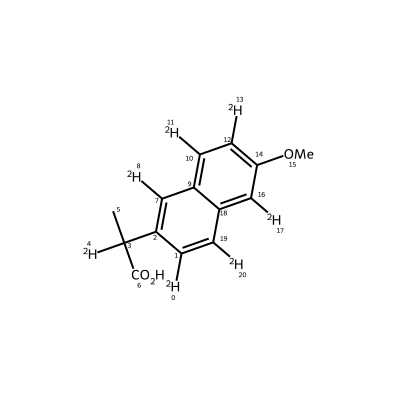 [2H]c1c(C([2H])(C)C(=O)O)c([2H])c2c([2H])c([2H])c(OC)c([2H])c2c1[2H]